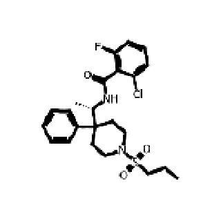 CCCS(=O)(=O)N1CCC(c2ccccc2)([C@H](C)NC(=O)c2c(F)cccc2Cl)CC1